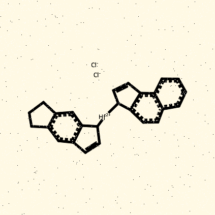 C1=C[CH]([Hf+2][CH]2C=Cc3c2ccc2ccccc32)c2cc3c(cc21)CCC3.[Cl-].[Cl-]